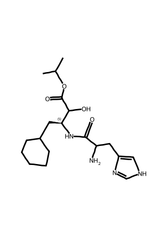 CC(C)OC(=O)C(O)[C@H](CC1CCCCC1)NC(=O)C(N)Cc1c[nH]cn1